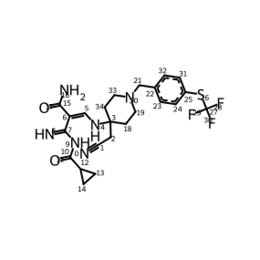 N#CCC1(N/C=C(\C(=N)NC(=O)C2CC2)C(N)=O)CCN(Cc2ccc(SC(F)(F)F)cc2)CC1